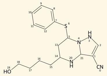 N#CC1=CNN2C(Sc3ccccc3)CC(CCCCO)NC12